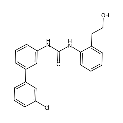 O=C(Nc1cccc(-c2cccc(Cl)c2)c1)Nc1ccccc1CCO